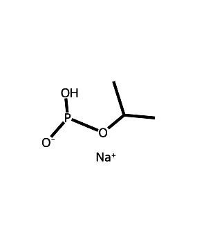 CC(C)OP([O-])O.[Na+]